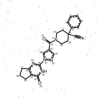 N#CC1(c2ccccc2)CCN(C(=O)c2cnn(-c3nc4c(c(=O)[nH]3)CCC4)c2)CC1